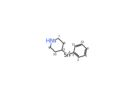 c1cc[c]([Sn][CH]2CCNCC2)cc1